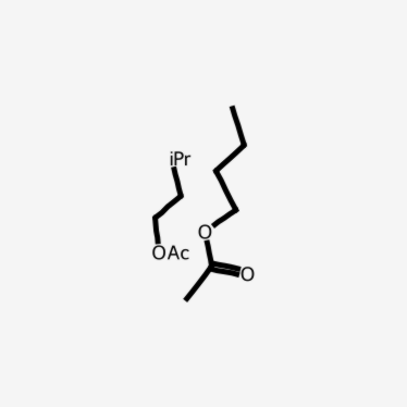 CC(=O)OCCC(C)C.CCCCOC(C)=O